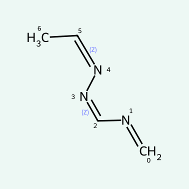 C=N/C=N\N=C/C